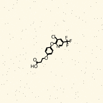 O=C(O)CCOc1ccc(Oc2ncc(C(F)(F)F)cc2Cl)cc1